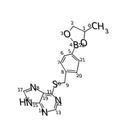 CC1COB(c2ccc(CSc3ncnc4[nH]cnc34)cc2)O1